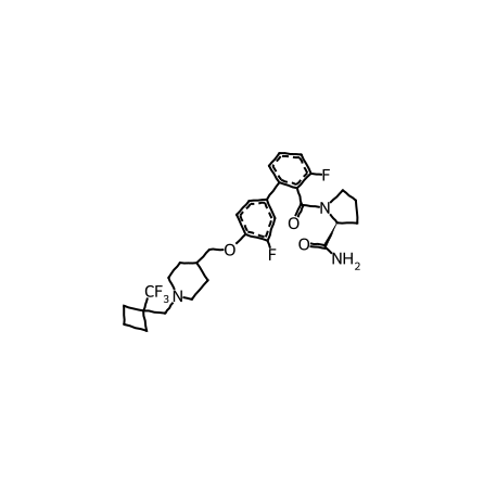 NC(=O)[C@@H]1CCCN1C(=O)c1c(F)cccc1-c1ccc(OCC2CCN(CC3(C(F)(F)F)CCC3)CC2)c(F)c1